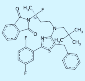 CC(C)(C)CN(CC[C@](C)(F)N1C(=O)c2ccccc2C1=O)c1nc(-c2cc(F)ccc2F)sc1Cc1ccccc1